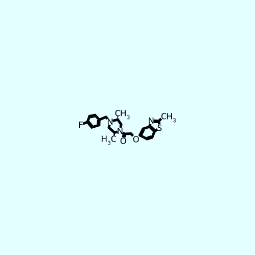 Cc1nc2cc(OCC(=O)N3C[C@@H](C)N(Cc4ccc(F)cc4)C[C@@H]3C)ccc2s1